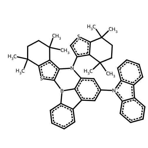 CC1(C)CCC(C)(C)c2c(N3c4cc(-n5c6ccccc6c6ccccc65)cc5c4B(c4ccccc4-5)c4sc5c(c43)C(C)(C)CCC5(C)C)csc21